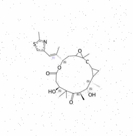 C/C(=C\c1csc(C)n1)[C@@H]1CC2OC2(C)CC2CC2[C@H](C)[C@H](O)[C@@H](C)C(=O)C(C)(C)[C@@H](O)CC(=O)O1